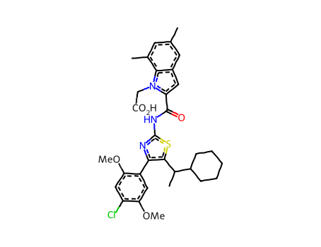 COc1cc(-c2nc(NC(=O)c3cc4cc(C)cc(C)c4n3CC(=O)O)sc2C(C)C2CCCCC2)c(OC)cc1Cl